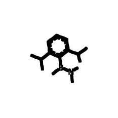 CB(c1c(C(C)C)cccc1C(C)C)N(C)C